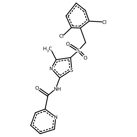 Cc1nc(NC(=O)c2ccccn2)sc1S(=O)(=O)Cc1c(Cl)cccc1Cl